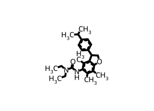 CCN(CC)C(=O)Nc1c(C)c(C)c2c(c1C)C(c1ccc(C(C)C)cc1)CO2